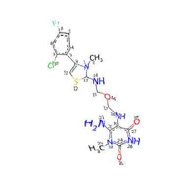 CN1C(c2ccc(F)cc2Cl)=CSC1NCOCNc1c(N)n(C)c(=O)[nH]c1=O